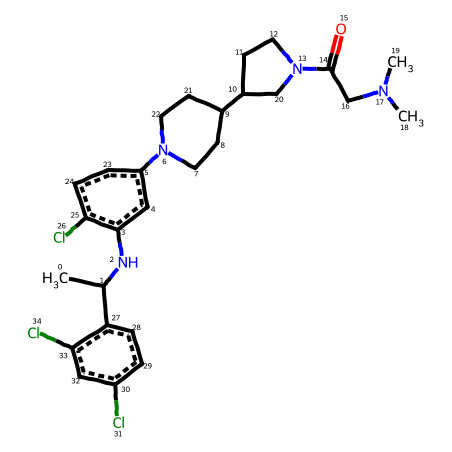 CC(Nc1cc(N2CCC(C3CCN(C(=O)CN(C)C)C3)CC2)ccc1Cl)c1ccc(Cl)cc1Cl